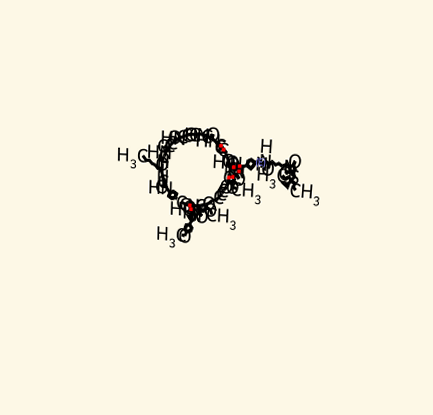 CCCCCCC1CNCC(=O)Nc2ccc(cc2)COC(=O)N2c3cc(c(OC)cc3C(=O)N3CC(c4ccc(OC)cc4)=C[C@H]3C2O)OCCCCCOc2cc3c(cc2OC)C(=O)N2CC(c4ccc(/C=N/NC(=O)CCCCCN5C(=O)CC(SC(CCC)(CCC)C6CC6)C5=O)cc4)=C[C@H]2C(O)N3C(=O)OCc2ccc(cc2)NC(=O)CNCCOCCNC(=O)CCC(=O)NCCO1